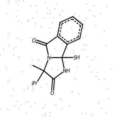 CC(C)C1(C)C(=O)NC2(S)c3ccccc3C(=O)N21